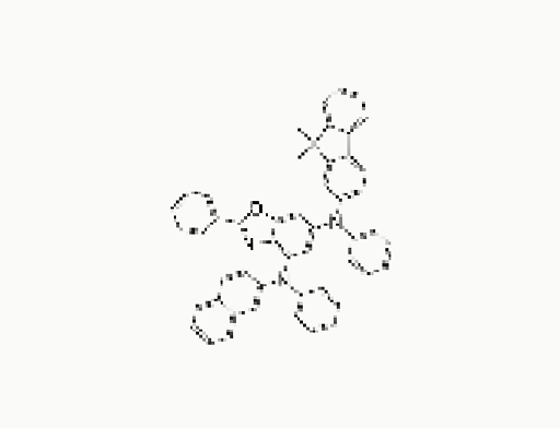 CC1(C)c2ccccc2-c2ccc(N(c3ccccc3)c3cc(N(c4ccccc4)c4ccc5ccccc5c4)c4nc(-c5ccccc5)oc4c3)cc21